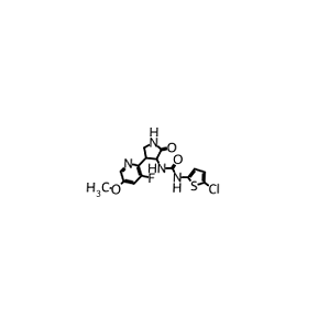 COc1cnc(C2CNC(=O)C2NC(=O)Nc2ccc(Cl)s2)c(F)c1